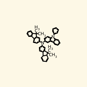 CC1(C)c2ccccc2-c2ccc(N(c3ccc4c(c3)C(C)(C)C3C=CC=CC43)c3ccc4c(c3)c3ccccc3n4-c3ccccc3)cc21